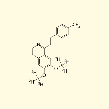 [2H]C([2H])([2H])Oc1cc2c(cc1OC([2H])([2H])[2H])C(CCc1ccc(C(F)(F)F)cc1)=NCC2